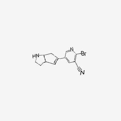 N#Cc1cc(C2=CC3CCNC3C2)cnc1Br